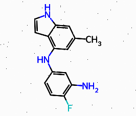 Cc1cc(Nc2ccc(F)c(N)c2)c2cc[nH]c2c1